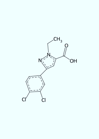 CCn1nc(-c2ccc(Cl)c(Cl)c2)cc1C(=O)O